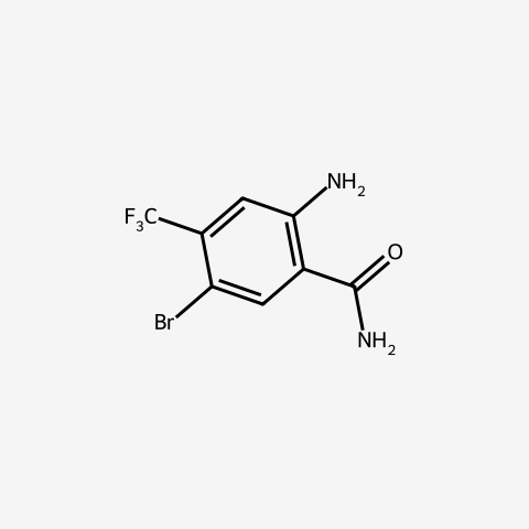 NC(=O)c1cc(Br)c(C(F)(F)F)cc1N